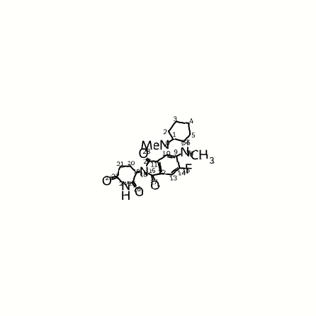 CNC1CCCC[C@@H]1N(C)c1cc2c(cc1F)C(=O)N(C1CCC(=O)NC1=O)C2=O